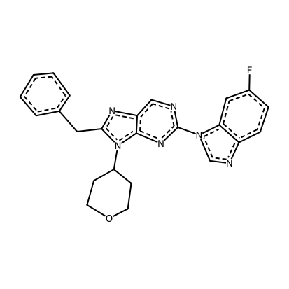 Fc1ccc2ncn(-c3ncc4nc(Cc5ccccc5)n(C5CCOCC5)c4n3)c2c1